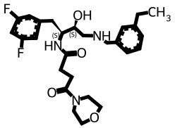 CCc1cccc(CNC[C@H](O)[C@H](Cc2cc(F)cc(F)c2)NC(=O)CCC(=O)N2CCOCC2)c1